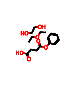 CCOCC.O=C(O)CCC(=O)Oc1ccccc1.OCCO